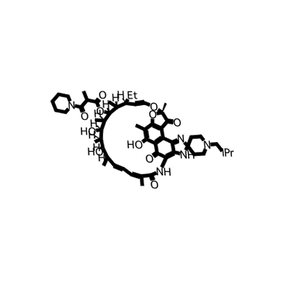 CC[C@H]1/C=C/O[C@@]2(C)Oc3c(C)c(O)c4c(c3C2=O)C2=NC3(CCN(CC(C)C)CC3)NC2=C(NC(=O)/C(C)=C\C=C\[C@H](C)[C@H](O)[C@@H](C)[C@@H](O)[C@@H](C)[C@H](OC(=O)C(C)C(=O)N2CCCCC2)[C@@H]1C)C4=O